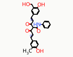 Cc1cc(/C=C/C(=O)C(C(=O)/C=C/c2ccc(O)c(CO)c2)C(=O)Nc2ccccc2)ccc1O